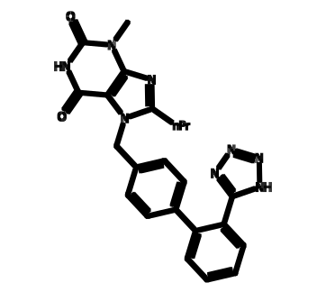 CCCc1nc2c(c(=O)[nH]c(=O)n2C)n1Cc1ccc(-c2ccccc2-c2nnn[nH]2)cc1